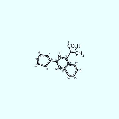 CC(C(=O)O)c1nc(-c2ccccc2)nc2ccccc12